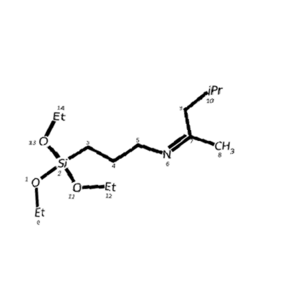 CCO[Si](CCCN=C(C)CC(C)C)(OCC)OCC